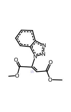 COC(=O)/C=C(/C(=O)OC)n1nnc2ccccc21